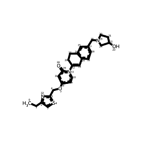 CCc1csc(COc2ccn(C3=Cc4ccc(CN5CCC(O)C5)cc4CC3)c(=O)c2)n1